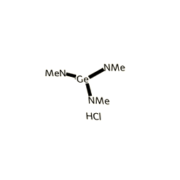 C[NH][Ge]([NH]C)[NH]C.Cl